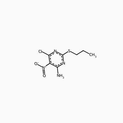 CCCSc1nc(N)c([N+](=O)[O-])c(Cl)n1